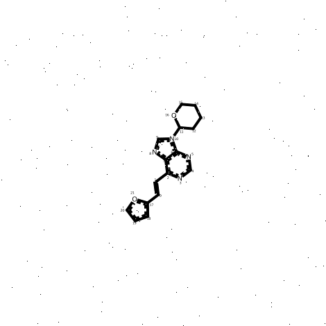 C(=Cc1ncnc2c1ncn2C1CCCCO1)c1ccco1